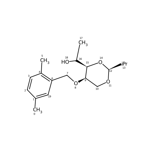 Cc1ccc(C)c(CO[C@@H]2CO[C@H](C(C)C)O[C@@H]2C(C)O)c1